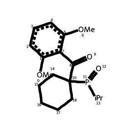 COc1cccc(OC)c1C(=O)C1([P](=O)C(C)C)CCCCC1